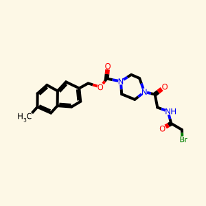 Cc1ccc2cc(COC(=O)N3CCN(C(=O)CNC(=O)CBr)CC3)ccc2c1